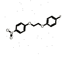 O=[N+]([O-])c1ccc(OCCOc2ccc(F)cc2)cc1